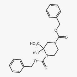 CC(C)(C)C1(C(=O)O)CN(C(=O)OCc2ccccc2)CCN1C(=O)OCc1ccccc1